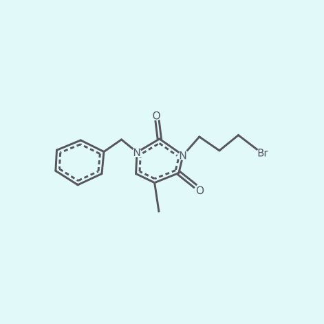 Cc1cn(Cc2ccccc2)c(=O)n(CCCBr)c1=O